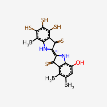 Bc1cc(O)c2c(c1B)C(=S)/C(=C1\Nc3c(B)c(S)c(S)c(S)c3C1=S)N2